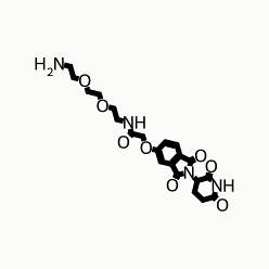 NCCOCCOCCNC(=O)COc1ccc2c(c1)C(=O)N(C1CCC(=O)NC1=O)C2=O